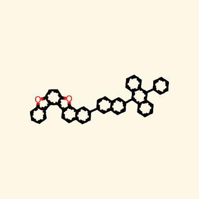 c1ccc(-c2c3ccccc3c(-c3ccc4cc(-c5ccc6ccc7c(oc8ccc9oc%10ccccc%10c9c87)c6c5)ccc4c3)c3ccccc23)cc1